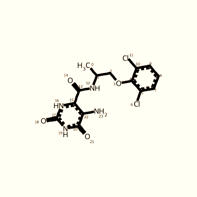 CC(COc1c(Cl)cccc1Cl)NC(=O)c1[nH]c(=O)[nH]c(=O)c1N